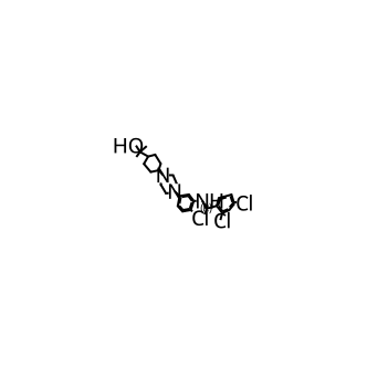 C[C@@H](Nc1cc(N2CCN(C3CCC(C(C)(C)O)CC3)CC2)ccc1Cl)c1ccc(Cl)cc1Cl